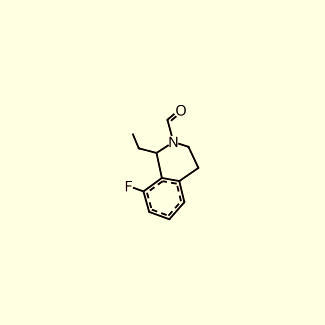 CCC1c2c(F)cccc2CCN1C=O